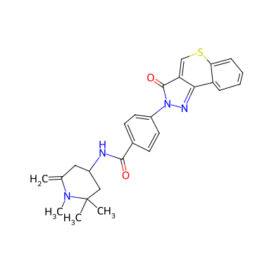 C=C1CC(NC(=O)c2ccc(-n3nc4c5ccccc5scc-4c3=O)cc2)CC(C)(C)N1C